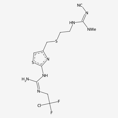 CN/C(=N/C#N)NCCSCc1csc(N/C(N)=N\CC(F)(F)Cl)n1